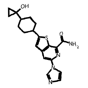 NC(=O)c1nc(-n2ccnc2)cc2cc(C3CCC(C4(O)CC4)CC3)sc12